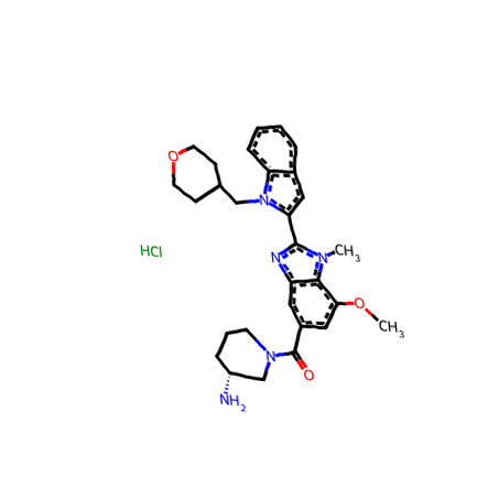 COc1cc(C(=O)N2CCC[C@@H](N)C2)cc2nc(-c3cc4ccccc4n3CC3CCOCC3)n(C)c12.Cl